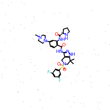 CN1CCN(c2ccc(C(=O)Nc3n[nH]c4c3CN(S(=O)(=O)c3cc(F)cc(F)c3)CC4(C)C)c(NC(=O)[C@H]3CCCN3)c2)CC1